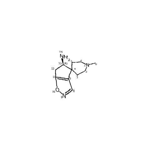 CN1CCC2(CC1)c1cnoc1C[C@H]2N